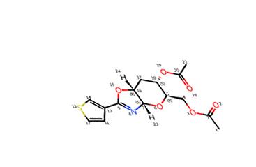 CC(=O)OC[C@H]1O[C@@H]2N=C(c3ccsc3)O[C@@H]2C[C@@H]1OC(C)=O